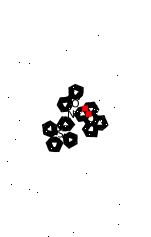 c1ccc(-c2cccc3cccc(-c4cccc(N(c5ccc(S(c6ccccc6)(c6ccccc6)c6ccccc6)cc5)c5cccc6c5oc5ccccc56)c4)c23)cc1